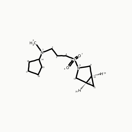 CN(CCCS(=O)(=O)N1C[C@H]2[CH][C@H]2C1)C1CCCC1